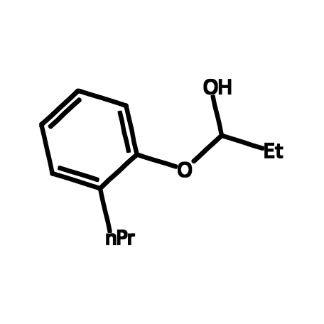 CCCc1ccccc1OC(O)CC